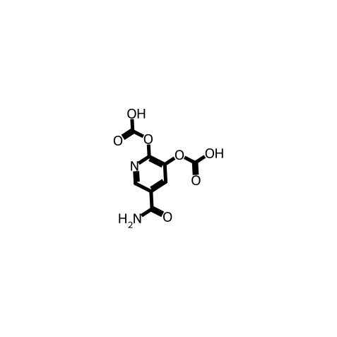 NC(=O)c1cnc(OC(=O)O)c(OC(=O)O)c1